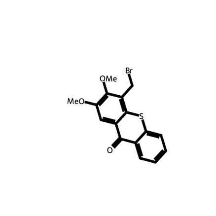 COc1cc2c(=O)c3ccccc3sc2c(CBr)c1OC